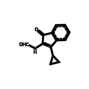 O=CNC1=C(C2CC2)c2ccccc2C1=O